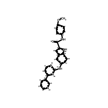 COc1ccc(NC(=O)c2cc3cc(Nc4nccc(-c5cccnc5)n4)ccc3[nH]2)cc1